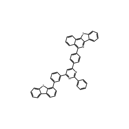 c1ccc(-c2nc(-c3ccc(-c4nc5c6ccccc6sc5c5ccccc45)cc3)cc(-c3cccc(-c4cccc5c4sc4ccccc45)c3)n2)cc1